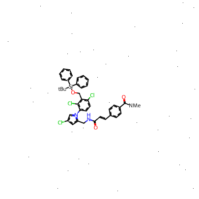 CNC(=O)c1ccc(C=CC(=O)NCc2cc(Cl)cn2-c2ccc(Cl)c(CO[Si](c3ccccc3)(c3ccccc3)C(C)(C)C)c2Cl)cc1